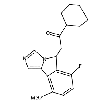 COc1ccc(F)c2c1-c1cncn1C2CC(=O)C1CCCCC1